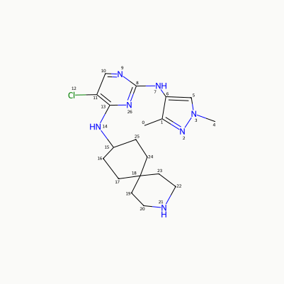 Cc1nn(C)cc1Nc1ncc(Cl)c(NC2CCC3(CCNCC3)CC2)n1